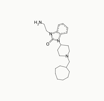 NCCn1c(=O)n(C2CCN(CC3CCCCCCC3)CC2)c2ccccc21